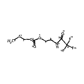 CSCOC(=O)OCCNC(=O)C(F)(F)F